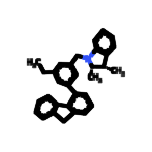 CCc1cc(CN2c3ccccc3[C@H](C)[C@@H]2C)cc(-c2cccc3c2-c2ccccc2C3)c1